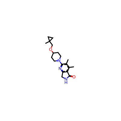 Cc1c(N2CCC(OCC3(C)CC3)CC2)nc2c(c1C)C(=O)NC2